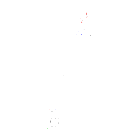 CC(C)C[C@H](NCCCCCCCCCCCCCCCCNC(=O)c1cc(Cl)ccc1Cl)B1O[CH]C(=O)O1